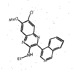 CCNc1nc2cc(OC)c(Cl)cc2nc1-c1cncc2ccccc12